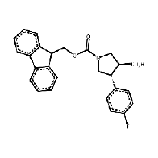 O=C(O)[C@@H]1CN(C(=O)OCC2c3ccccc3-c3ccccc32)C[C@H]1c1ccc(F)cc1